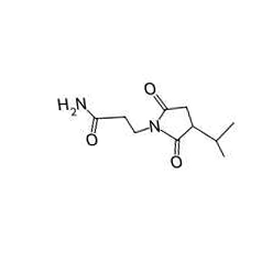 CC(C)C1CC(=O)N(CCC(N)=O)C1=O